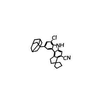 N#Cc1cc2[nH]c3c(Cl)cc(C45CC6CC(CC(C6)C4)C5)cc3c2c2c1C1(CCCC1)CC2